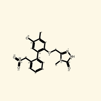 Cc1cc(OCc2n[nH]c(=O)n2C)c(-c2ccccc2C[SH](=O)=O)cc1Cl